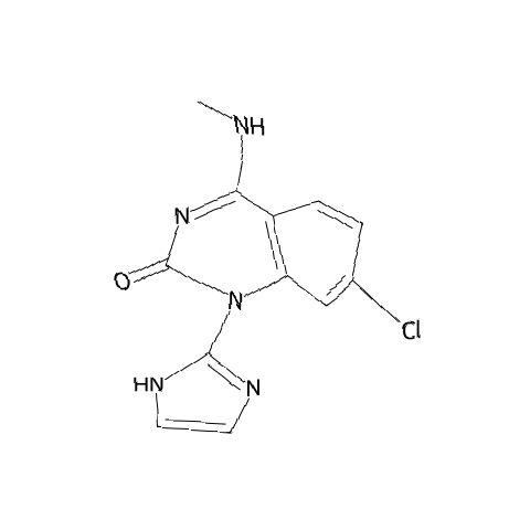 CNc1nc(=O)n(-c2ncc[nH]2)c2cc(Cl)ccc12